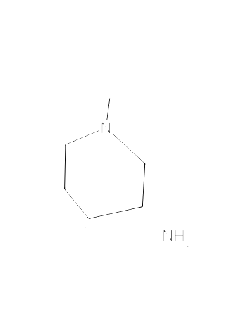 N[C@@H]1CCCN(I)C1